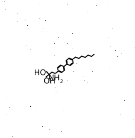 CCCCCCCc1ccc(-c2ccc(CCC(N)(CO)CO)cc2)cc1